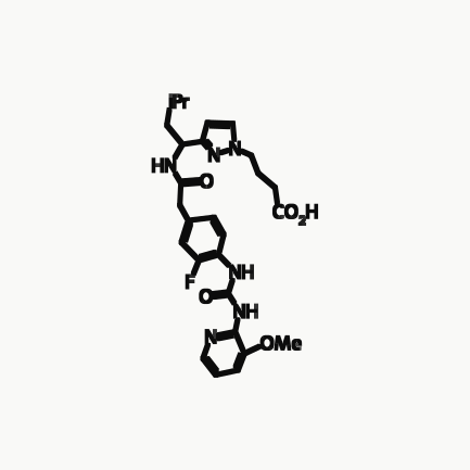 COc1cccnc1NC(=O)Nc1ccc(CC(=O)NC(CC(C)C)c2ccn(CCCC(=O)O)n2)cc1F